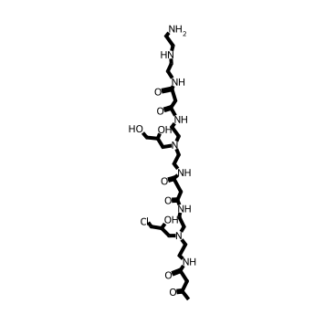 CC(=O)CC(=O)NCCN(CCNC(=O)CC(=O)NCCN(CCNC(=O)CC(=O)NCCNCCN)CC(O)CO)CC(O)CCl